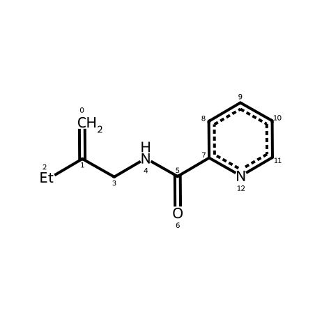 C=C(CC)CNC(=O)c1ccccn1